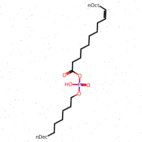 CCCCCCCC/C=C\CCCCCCCC(=O)OP(=O)(O)OCCCCCCCCCCCCCCCC